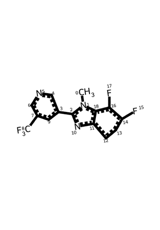 Cn1c(-c2cncc(C(F)(F)F)c2)nc2ccc(F)c(F)c21